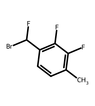 Cc1ccc(C(F)Br)c(F)c1F